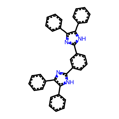 c1ccc(-c2nc(-c3cccc(-c4nc(-c5ccccc5)c(-c5ccccc5)[nH]4)c3)[nH]c2-c2ccccc2)cc1